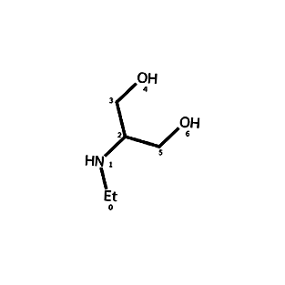 CCNC(CO)CO